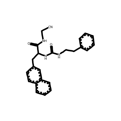 N#CCNC(=O)C(Cc1ccc2ccccc2c1)NC(=O)NCCc1ccccc1